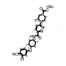 C[C@H]1CN(C(=O)OC(C)(C)C)CCN1c1ccc(C(=O)N[C@H]2CC[C@H](Oc3ccc(C#N)c(Cl)c3)CC2)nn1